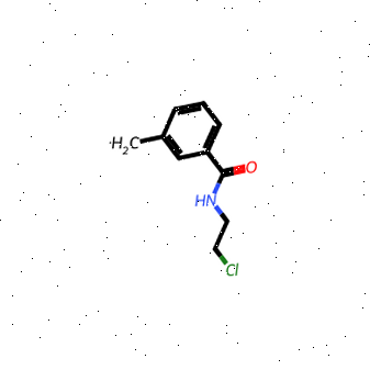 [CH2]c1cccc(C(=O)NCCCl)c1